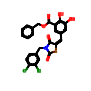 O=C(OCc1ccccc1)c1cc(C=C2SC(=O)N(Cc3ccc(Cl)c(Cl)c3)C2=O)cc(O)c1O